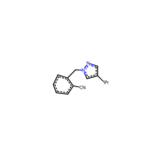 CC(C)c1cnn(Cc2ccccc2C#N)c1